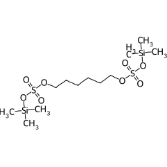 C[Si](C)(C)OS(=O)(=O)OCCCCCCOS(=O)(=O)O[Si](C)(C)C